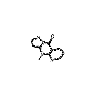 Cn1c2ncccc2c(=O)n2nccc12